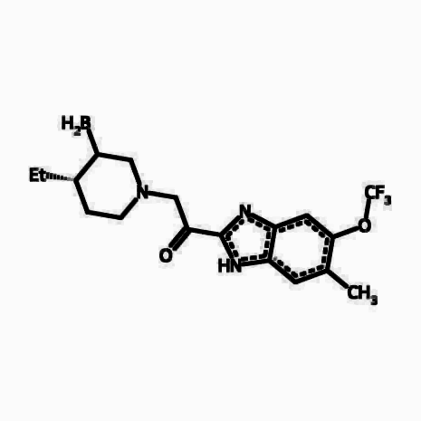 BC1CN(CC(=O)c2nc3cc(OC(F)(F)F)c(C)cc3[nH]2)CC[C@@H]1CC